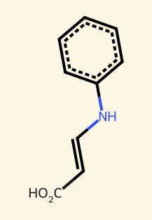 O=C(O)C=CNc1ccccc1